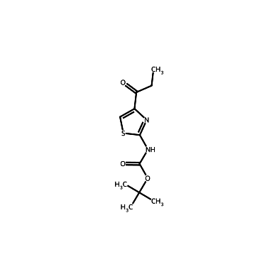 CCC(=O)c1csc(NC(=O)OC(C)(C)C)n1